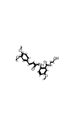 COc1ccc(NC(=O)/C=C/c2ccc(OC)c(OC)c2)c(C(=O)NCCO)c1